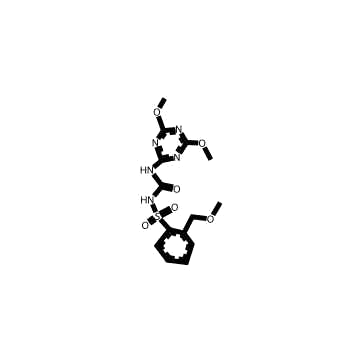 COCc1ccccc1S(=O)(=O)NC(=O)Nc1nc(OC)nc(OC)n1